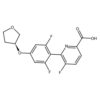 O=C(O)c1ccc(F)c(-c2c(F)cc(O[C@H]3CCOC3)cc2F)n1